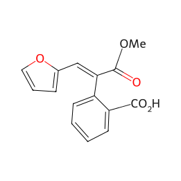 COC(=O)/C(=C/c1ccco1)c1ccccc1C(=O)O